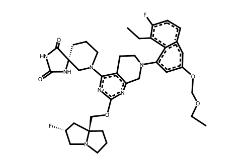 CCOCOc1cc(N2CCc3c(nc(OC[C@@]45CCCN4C[C@H](F)C5)nc3N3CCC[C@]4(C3)NC(=O)NC4=O)C2)c2c(CC)c(F)ccc2c1